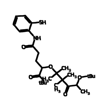 CC(OC(C)(C)C)C(=O)C(C)(C)C(C)(C)OC(CCC(=O)Nc1ccccc1S)C(=O)C(C)(C)C